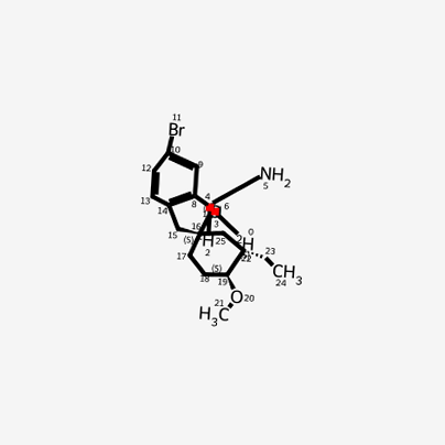 [2H]C1([2H])OC(N)=N[C@]12c1cc(Br)ccc1C[C@@]21CC[C@H](OC)[C@@H](CC)C1